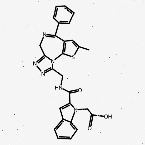 Cc1cc2c(s1)-n1c(nnc1CNC(=O)c1cc3ccccc3n1CC(=O)O)CN=C2c1ccccc1